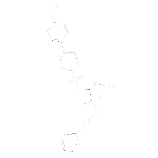 CCOc1ccc(N2CCN(S(=O)(=O)CC(NC(=O)O)C(C)(C)CC#Cc3ccccc3)CC2)cc1